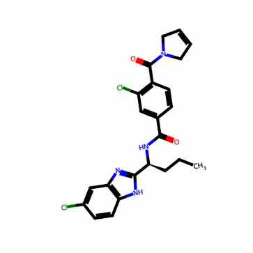 CCC[C@H](NC(=O)c1ccc(C(=O)N2CC=CC2)c(Cl)c1)c1nc2cc(Cl)ccc2[nH]1